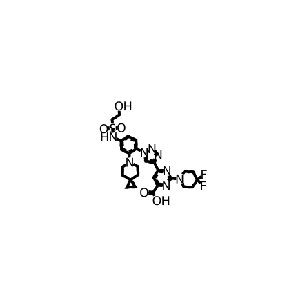 O=C(O)c1cc(-c2cn(-c3ccc(NS(=O)(=O)CCO)cc3N3CCC4(CC3)CC4)nn2)nc(N2CCC(F)(F)CC2)n1